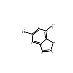 CCc1cc2c(c(CC)c1)CN=C2